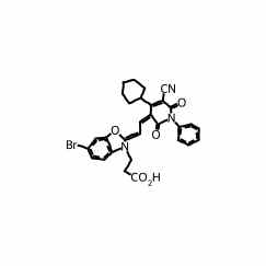 N#CC1=C(C2CCCCC2)/C(=C/C=C2\Oc3cc(Br)ccc3N2CCC(=O)O)C(=O)N(c2ccccc2)C1=O